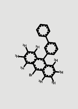 [2H]c1c([2H])c([2H])c2c(-c3cccc(-c4ccccc4)c3)c3c([2H])c([2H])c([2H])c([2H])c3c(Br)c2c1[2H]